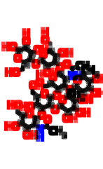 CC(=O)N[C@H]1[C@@H](O[C@H]2[C@@H](O)[C@@H](CO)O[C@@H](O[C@H]3[C@H](O[C@@H]4O[C@@H](C)[C@@H](O)[C@@H](O)[C@@H]4O)[C@@H](NC(C)=O)[C@H](O[C@H]4[C@@H](O)[C@@H](CO)O[C@@H](O[C@H]5[C@H](O)[C@@H](O)[C@H](O)O[C@@H]5CO)[C@@H]4O)O[C@@H]3CO)[C@@H]2O[C@@H]2O[C@@H](C)[C@@H](O)[C@@H](O)[C@@H]2O)O[C@H](CO)[C@H](O)[C@@H]1O